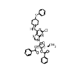 C=C[C@H]1O[C@@H](n2cnc3c(NN4CCC(Sc5ccccc5)CC4)nc(Cl)nc32)[C@H](OC(=O)c2ccccc2)[C@@H]1OC(=O)c1ccccc1